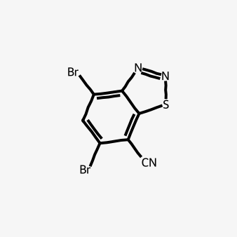 N#Cc1c(Br)cc(Br)c2nnsc12